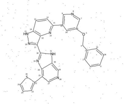 c1ccc(COc2cncc(-c3ccc4[nH]nc(-c5nc6c(-c7cccs7)cncc6[nH]5)c4n3)c2)cc1